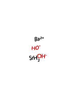 [Ba+2].[OH-].[OH-].[SrH2]